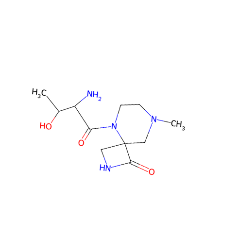 CC(O)C(N)C(=O)N1CCN(C)CC12CNC2=O